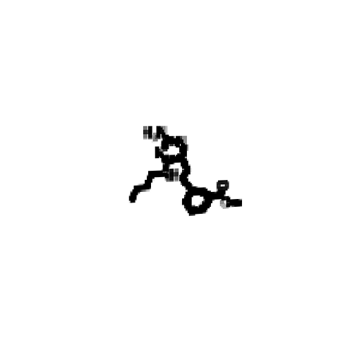 CCCCNc1nc(N)ncc1CCc1cccc(C(=O)OC)c1